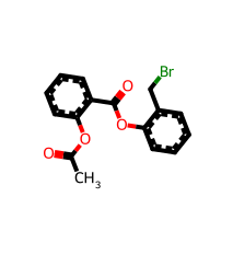 CC(=O)Oc1ccccc1C(=O)Oc1ccccc1CBr